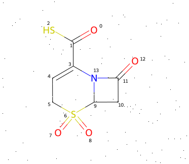 O=C(S)C1=CCS(=O)(=O)C2CC(=O)N12